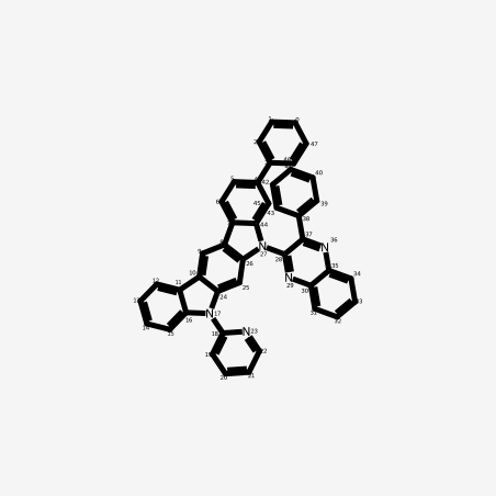 c1ccc(-c2ccc3c4cc5c6ccccc6n(-c6ccccn6)c5cc4n(-c4nc5ccccc5nc4-c4ccccc4)c3c2)cc1